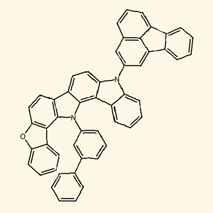 c1ccc(-c2cccc(-n3c4c(ccc5oc6ccccc6c54)c4ccc5c(c6ccccc6n5-c5cc6c7c(cccc7c5)-c5ccccc5-6)c43)c2)cc1